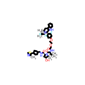 Cc1ncsc1-c1ccc(CNC(=O)[C@@H]2C[C@@H](O)CN2C(=O)C(NC(=O)COCCOc2cc(F)c([C@@H]3c4[nH]c5ccccc5c4C[C@@H](C)N3CC(C)(C)F)c(F)c2)C(C)(C)C)cc1